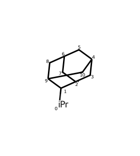 CC(C)C1[C]2CC3CC(C2)CC1C3